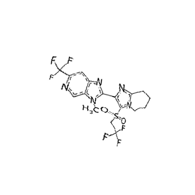 Cn1c(-c2nc3n(c2S(=O)(=O)CC(F)(F)F)CCCC3)nc2cc(C(F)(F)F)ncc21